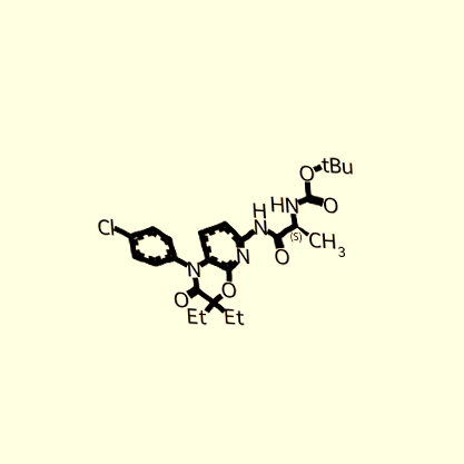 CCC1(CC)Oc2nc(NC(=O)[C@H](C)NC(=O)OC(C)(C)C)ccc2N(c2ccc(Cl)cc2)C1=O